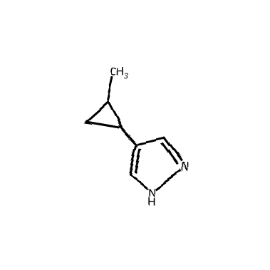 CC1CC1c1cn[nH]c1